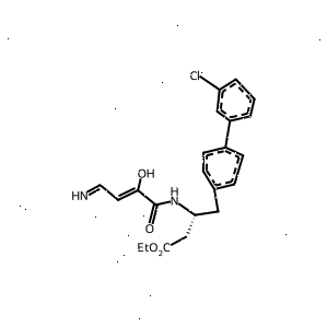 CCOC(=O)C[C@@H](Cc1ccc(-c2cccc(Cl)c2)cc1)NC(=O)/C(O)=C/C=N